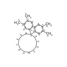 Cc1ccc(C2(c3ccc(C)c(C)c3)CCCCCCCCCCC2)cc1C